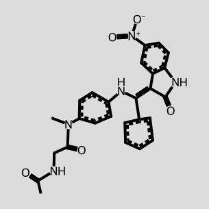 CC(=O)NCC(=O)N(C)c1ccc(NC(=C2C(=O)Nc3ccc([N+](=O)[O-])cc32)c2ccccc2)cc1